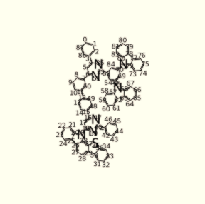 c1ccc(-c2cc(-c3cccc(-c4ccc(-c5cc(-n6c7ccccc7c7ccc8c9ccccc9sc8c76)nc(-c6ccccc6)n5)cc4)c3)nc(-c3cc(-n4c5ccccc5c5ccccc54)cc(-n4c5ccccc5c5ccccc54)c3)n2)cc1